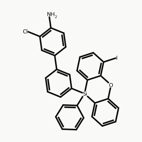 Nc1ccc(-c2cccc([Si]3(c4ccccc4)c4ccccc4Oc4c(I)cccc43)c2)cc1Cl